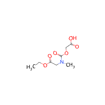 CCOC(=O)CN(C)C(=O)OCC(=O)O